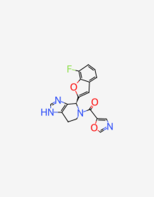 O=C(c1cnco1)N1CCc2[nH]cnc2[C@H]1c1cc2cccc(F)c2o1